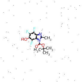 Cc1nc2c(F)c(F)c(O)c(F)c2n1C(=O)OC(C)(C)C